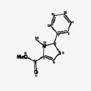 COC(=O)C1=CSC(c2ccccc2)N1C